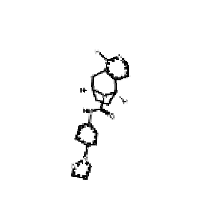 O=C(Nc1ccc(-n2cccn2)cc1)N1[C@H]2CC[C@@H]1c1ccnc(F)c1C2